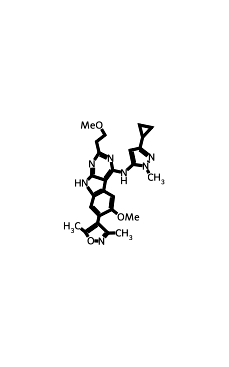 COCCc1nc(Nc2cc(C3CC3)nn2C)c2c(n1)[nH]c1cc(-c3c(C)noc3C)c(OC)cc12